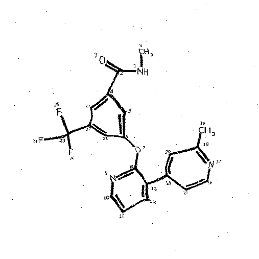 CNC(=O)c1cc(Oc2ncccc2-c2ccnc(C)c2)cc(C(F)(F)F)c1